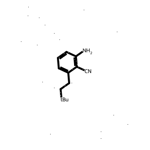 CC(C)(C)CCc1cccc(N)c1C#N